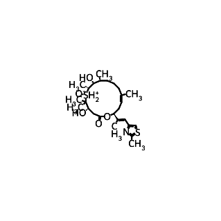 CC1=CC[C@@H](C(C)=Cc2csc(C)n2)OC(=O)C[C@H](O)C(C)(C)[SH2+]([O-])[C@H](C)[C@@H](O)[C@@H](C)CCC1